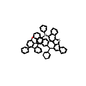 Cc1ccccc1C1(c2ccccc2Cc2ccccc2)c2ccccc2-c2ccc(C(C3=CCCC=C3)c3cc4ccccc4c4sc5c6ccccc6c(N(c6ccccc6)c6ccccc6)cc5c34)cc21